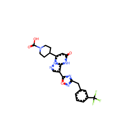 O=C(O)N1CCC(c2cc(=O)[nH]c3c(-c4nc(Cc5cccc(C(F)(F)F)c5)no4)cnn23)CC1